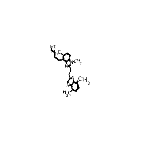 CC/C=C/C=C\c1c(C)ccc2c1nc(CCc1cnc3c(C)ccc(C)c3n1)n2C